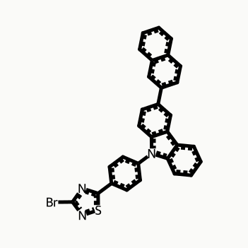 Brc1nsc(-c2ccc(-n3c4ccccc4c4cc(-c5ccc6ccccc6c5)ccc43)cc2)n1